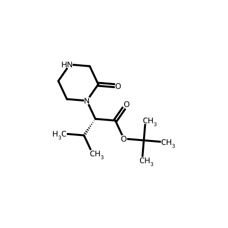 CC(C)[C@@H](C(=O)OC(C)(C)C)N1CCNCC1=O